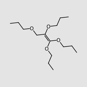 CCCOCC(OCCC)=C(OCCC)OCCC